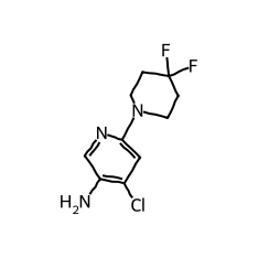 Nc1cnc(N2CCC(F)(F)CC2)cc1Cl